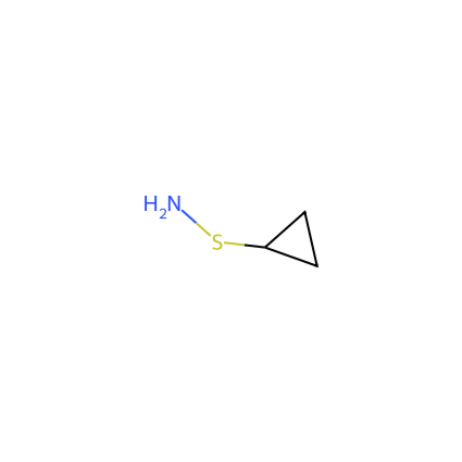 NSC1CC1